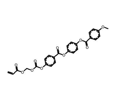 C=CC(=O)OCOC(=O)Oc1ccc(C(=O)Oc2ccc(OC(=O)c3ccc(OC)cc3)cc2)cc1